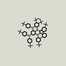 CC(C)(C)c1ccc(N(c2ccc(C(C)(C)C)cc2)c2cc3c4c(c2)N(c2ccc(C(C)(C)C)cc2-c2ccccc2)c2sc5ccc(C(C)(C)C)cc5c2B4c2cc4c(cc2N3c2ccc(C(C)(C)C)cc2)C(C)(C)CCC4(C)C)cc1